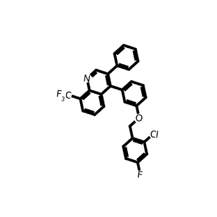 Fc1ccc(COc2cccc(-c3c(-c4ccccc4)cnc4c(C(F)(F)F)cccc34)c2)c(Cl)c1